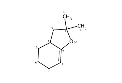 CC1(C)CC2CCCC=C2O1